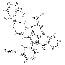 COc1ccc2c(c1)c(CN1CCC(c3c(C)cccc3C)CC1)c(-c1ccccc1)n2Cc1ccccc1.Cl